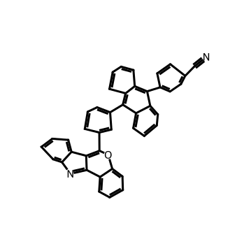 N#Cc1ccc(-c2c3ccccc3c(-c3cccc(-c4oc5ccccc5c5nc6ccccc6c4-5)c3)c3ccccc23)cc1